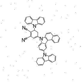 N#CC1=C(C#N)C(n2c3ccccc3c3ccccc32)CC(n2c3ccc(-n4c5c(c6ccccc64)C=CCC5)cc3c3c4ccccc4ccc32)=C1